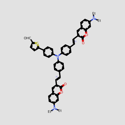 CCN(CC)c1ccc2cc(/C=C/c3ccc(N(c4ccc(/C=C/c5cc6ccc(N(CC)CC)cc6oc5=O)cc4)c4ccc(-c5ccc(C=O)s5)cc4)cc3)c(=O)oc2c1